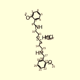 COc1ccccc1CNCCSSCCNCc1ccccc1OC.Cl.Cl